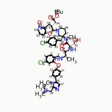 C[C@H](NCc1ccc(Cl)cc1Oc1ccc(-c2cnc(CN(C)C)n2C)cc1)C(=O)N[C@@H](CO)C(=O)N(C)[C@@]1(Cc2ccc(Cl)cc2)CCCN(C(=O)[C@@H](CC(=O)OC(C)(C)C)Cc2cccc[n+]2[O-])C1